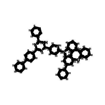 c1ccc(C2=NC(c3ccc(-c4ccccc4)cc3)=NC(c3ccc(-n4c5cc(-c6ccccc6)cc6oc7ccccc7c7cccc4c7c65)nc3)N2)cc1